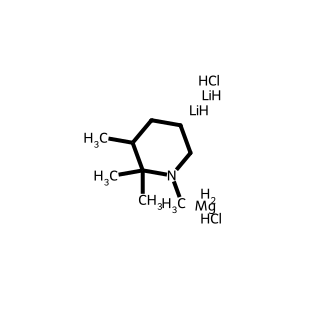 CC1CCCN(C)C1(C)C.Cl.Cl.[LiH].[LiH].[MgH2]